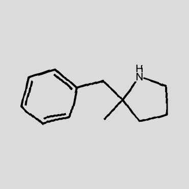 CC1(Cc2ccccc2)CCCN1